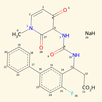 CN1C=CC(=O)C(NC(=O)NC(CC(=O)O)c2cc(-c3ccccc3)ccc2F)C1=O.[NaH]